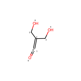 O=C=C(CO)CO